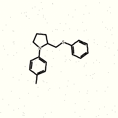 Cc1ccc(N2CCCC2CSc2ccccc2)cc1